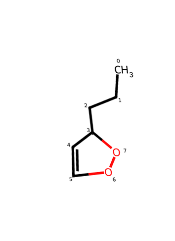 CCC[C]1C=COO1